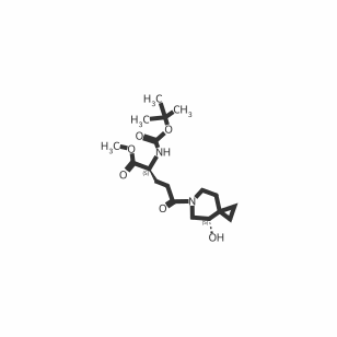 COC(=O)[C@H](CCC(=O)N1CCC2(CC2)[C@H](O)C1)NC(=O)OC(C)(C)C